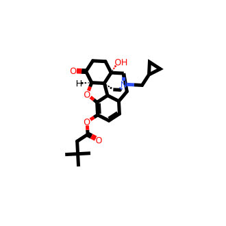 CC(C)(C)CC(=O)OC1=C2O[C@H]3C(=O)CC[C@@]4(O)C5CC(C=C1)C2[C@@]34CCN5CC1CC1